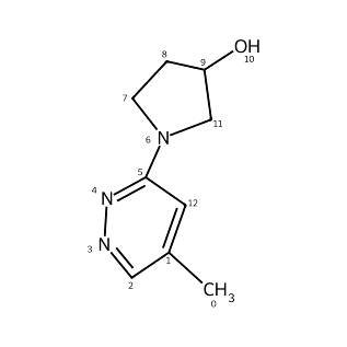 Cc1cnnc(N2CCC(O)C2)c1